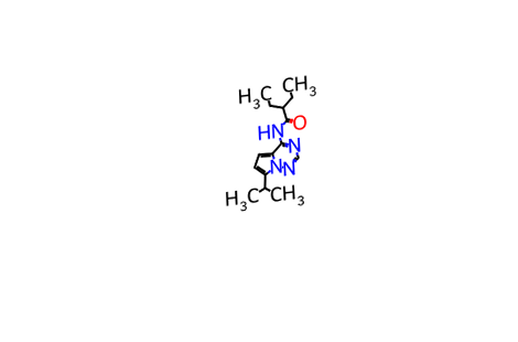 CCC(CC)C(=O)Nc1ncnn2c(C(C)C)ccc12